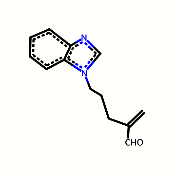 C=C(C=O)CCCn1cnc2ccccc21